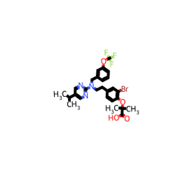 CC(C)c1cnc(N(CCc2ccc(OC(C)(C)C(=O)O)c(Br)c2)Cc2cccc(OC(F)(F)F)c2)nc1